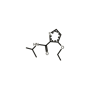 CCOc1ccsc1C(=O)NC(C)C